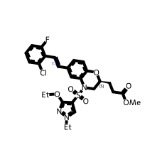 CCOc1nn(CC)cc1S(=O)(=O)N1C[C@H](CCC(=O)OC)Oc2ccc(/C=C/c3c(F)cccc3Cl)cc21